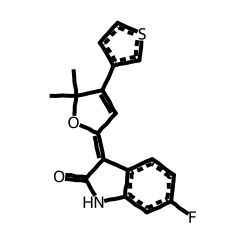 CC1(C)OC(=C2C(=O)Nc3cc(F)ccc32)C=C1c1ccsc1